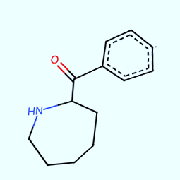 O=C(c1cc[c]cc1)C1CCCCCN1